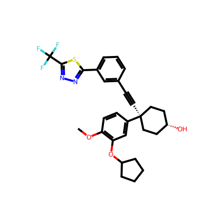 COc1ccc([C@]2(C#Cc3cccc(-c4nnc(C(F)(F)F)s4)c3)CC[C@@H](O)CC2)cc1OC1CCCC1